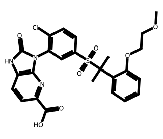 COCCOc1ccccc1C(C)(C)S(=O)(=O)c1ccc(Cl)c(-n2c(=O)[nH]c3ccc(C(=O)O)nc32)c1